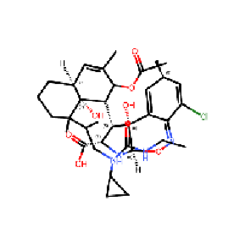 CCNC(=O)N(CC(C)C1(C)CCC[C@H]2C=C(C)C(OC(C)=O)C([C@H]3[C@@H](C(=O)O)N[C@@H]4ON=C5C(Cl)=C[C@H](C)C=C5[C@@]43O)[C@]21O)C1CC1